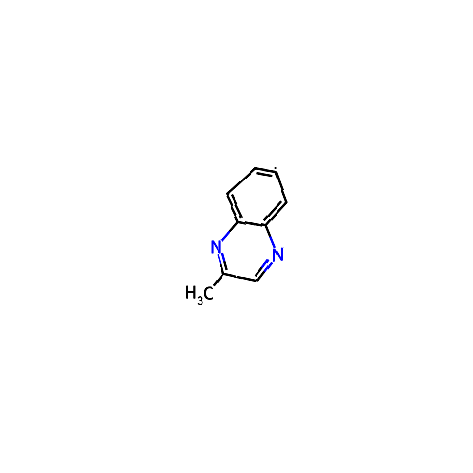 Cc1cnc2c[c]ccc2n1